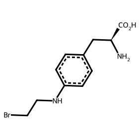 N[C@@H](Cc1ccc(NCCBr)cc1)C(=O)O